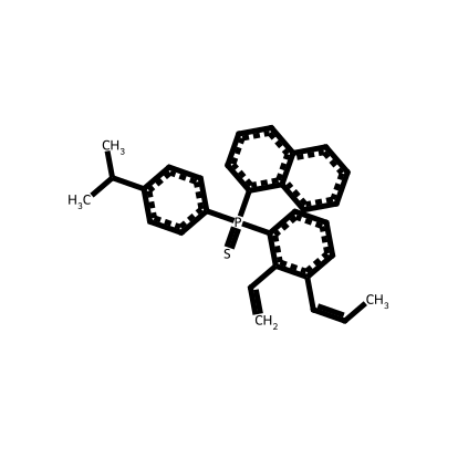 C=Cc1c(/C=C\C)cccc1P(=S)(c1ccc(C(C)C)cc1)c1cccc2ccccc12